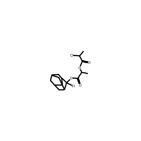 CCC1(OC(=O)C(C)OC(=O)C(C)Cl)C2CC3CC(C2)CC1C3